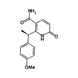 COc1ccc([C@@H](C)c2[nH]c(=O)ccc2C(N)=O)cc1